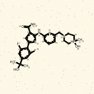 CC(C)(O)c1cc(F)c(-c2cc(C(N)=O)c(Nc3cccc(CN4CC[PH](C)(O)CC4)n3)s2)c(F)c1